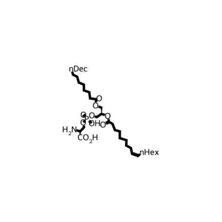 CCCCCC/C=C\CCCCCCCC(=O)O[C@H](COC(=O)CCCCCCCCCCCCCCCCC)COP(=O)(O)OC[C@H](N)C(=O)O